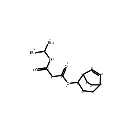 CC(C)(C)C(OC(=O)CC(=O)OC1CCC2C=CC1CC2)C(C)(C)C